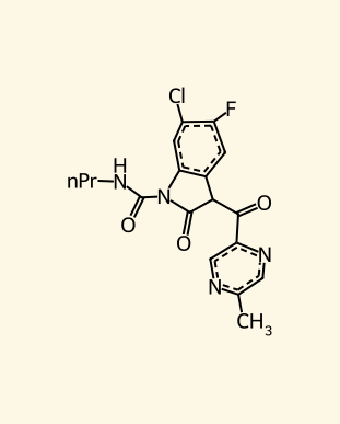 CCCNC(=O)N1C(=O)C(C(=O)c2cnc(C)cn2)c2cc(F)c(Cl)cc21